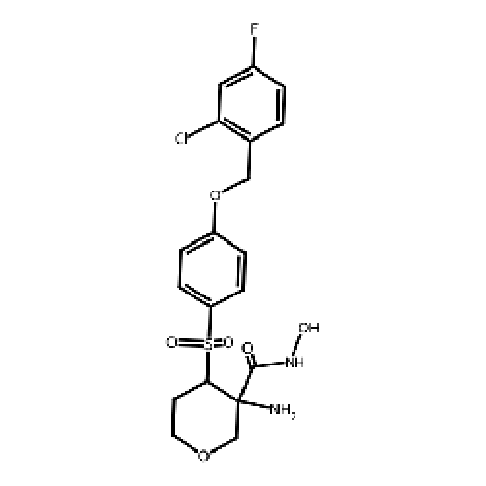 NC1(C(=O)NO)COCCC1S(=O)(=O)c1ccc(OCc2ccc(F)cc2Cl)cc1